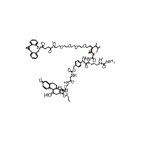 CCCC1O[C@@H]2CC3[C@@H]4CCC5=CC(=O)C=C[C@]5(C)C4[C@@H](O)C[C@]3(C)[C@]2(C(=O)COCNC(=O)CNC(=O)OCc2ccc(NC(=O)[C@H](CCCNC(N)=O)NC(=O)[C@@H](CC(C)C(C)C(=O)CCOCCOCCOCCOCCNC(=O)CCC(=O)N3Cc4ccccc4C4=C(C4)c4ccccc43)C(C)C)cc2)O1